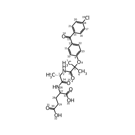 C[C@H](NC(=O)C(C)(C)Oc1ccc(C(=O)c2ccc(Cl)cc2)cc1)C(=O)NC(CCC(=O)O)C(=O)O